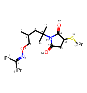 CC(CON=C(C(C)C)C(C)C)CC(C)(C)N1C(=O)CC(SC(C)C)C1=O